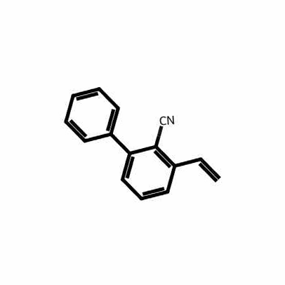 C=Cc1cccc(-c2ccccc2)c1C#N